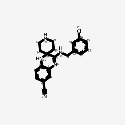 N#Cc1ccc2c(c1)N=C(NCc1cccc(Cl)c1)C1(CCNCC1)N2